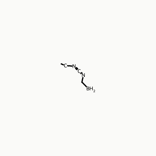 BCN=C=NCC